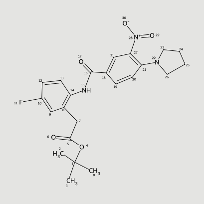 CC(C)(C)OC(=O)Cc1cc(F)ccc1NC(=O)c1ccc(N2CCCC2)c([N+](=O)[O-])c1